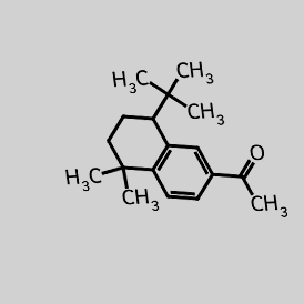 CC(=O)c1ccc2c(c1)C(C(C)(C)C)CCC2(C)C